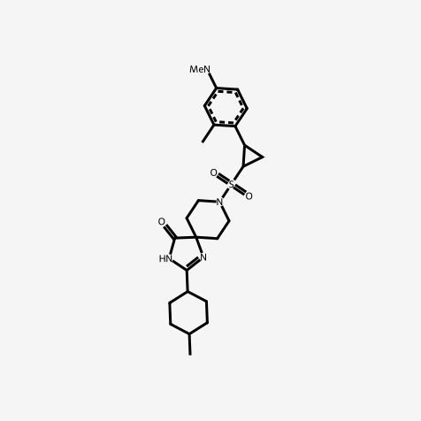 CNc1ccc(C2CC2S(=O)(=O)N2CCC3(CC2)N=C(C2CCC(C)CC2)NC3=O)c(C)c1